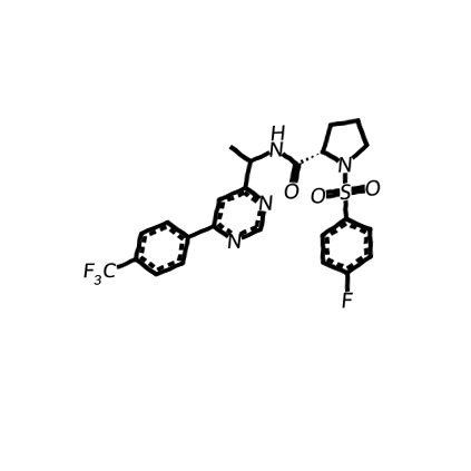 CC(NC(=O)[C@@H]1CCCN1S(=O)(=O)c1ccc(F)cc1)c1cc(-c2ccc(C(F)(F)F)cc2)ncn1